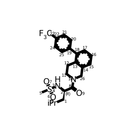 CC(C)C[C@@H](NS(C)(=O)=O)C(=O)N1CCc2c(cccc2-c2ccc(C(F)(F)F)cc2)C1